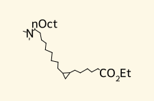 CCCCCCCCC(CCCCCCCCC1CC1CCCCCC(=O)OCC)N(C)C